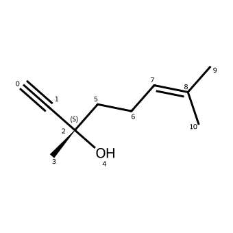 C#C[C@@](C)(O)CCC=C(C)C